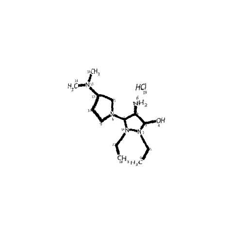 CCN1C(O)C(N)C(N2CCC(N(C)C)C2)N1CC.Cl